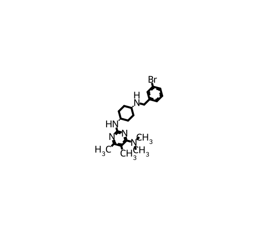 Cc1nc(N[C@H]2CC[C@@H](NCc3cccc(Br)c3)CC2)nc(N(C)C)c1C